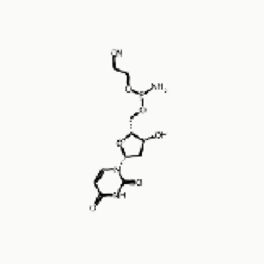 N#CCCOP(N)OC[C@H]1O[C@@H](n2ccc(=O)[nH]c2=O)C[C@@H]1O